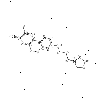 Cn1nc2c(cc1=O)CCc1cc(OCCCN3CCCC3)ccc1-2